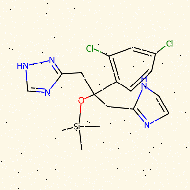 C[Si](C)(C)OC(Cc1nc[nH]n1)(Cc1ncc[nH]1)c1ccc(Cl)cc1Cl